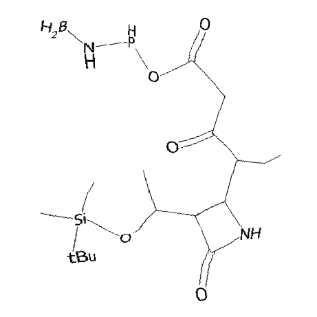 BNPOC(=O)CC(=O)C(C)C1NC(=O)C1C(C)O[Si](C)(C)C(C)(C)C